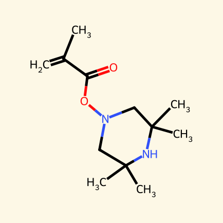 C=C(C)C(=O)ON1CC(C)(C)NC(C)(C)C1